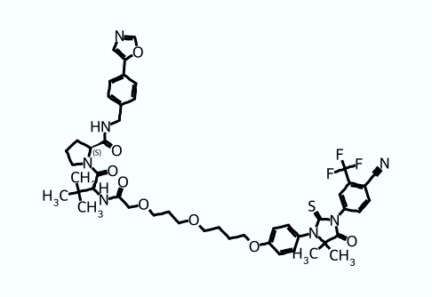 CC(C)(C)C(NC(=O)COCCCOCCCCOc1ccc(N2C(=S)N(c3ccc(C#N)c(C(F)(F)F)c3)C(=O)C2(C)C)cc1)C(=O)N1CCC[C@H]1C(=O)NCc1ccc(-c2cnco2)cc1